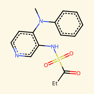 CCC(=O)S(=O)(=O)Nc1cnccc1N(C)c1ccccc1